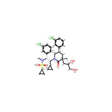 CN(C[C@@H](C1CC1)N1C(=O)[C@@](C)(CC(O)CO)C[C@H](c2cccc(Cl)c2)[C@H]1c1ccc(Cl)cc1)S(=O)(=O)C1CC1